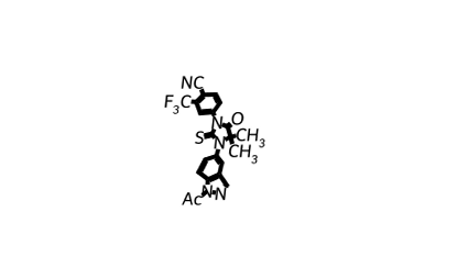 CC(=O)n1ncc2cc(N3C(=S)N(c4ccc(C#N)c(C(F)(F)F)c4)C(=O)C3(C)C)ccc21